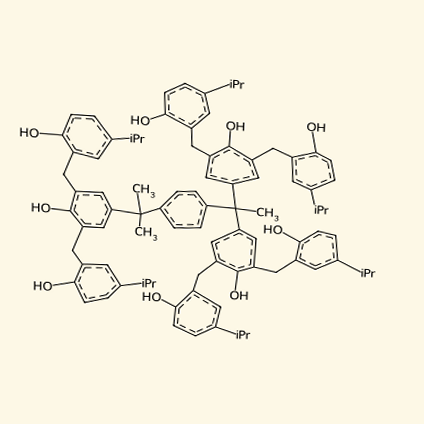 CC(C)c1ccc(O)c(Cc2cc(C(C)(C)c3ccc(C(C)(c4cc(Cc5cc(C(C)C)ccc5O)c(O)c(Cc5cc(C(C)C)ccc5O)c4)c4cc(Cc5cc(C(C)C)ccc5O)c(O)c(Cc5cc(C(C)C)ccc5O)c4)cc3)cc(Cc3cc(C(C)C)ccc3O)c2O)c1